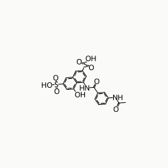 CC(=O)Nc1cccc(C(=O)Nc2cc(S(=O)(=O)O)cc3cc(S(=O)(=O)O)cc(O)c23)c1